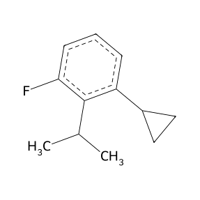 CC(C)c1c(F)cccc1C1CC1